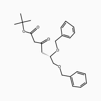 CC(C)(C)OC(=O)CC(=O)C[C@@H](COCc1ccccc1)OCc1ccccc1